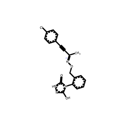 C/C(C#Cc1ccc(Cl)cc1)=N\OCc1ccccc1-n1c(O)n[nH]c1=O